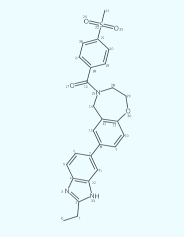 CCc1nc2ccc(-c3ccc4c(c3)CN(C(=O)c3ccc(S(C)(=O)=O)cc3)CCO4)cc2[nH]1